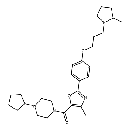 Cc1nc(-c2ccc(OCCCN3CCCC3C)cc2)oc1C(=O)N1CCN(C2CCCC2)CC1